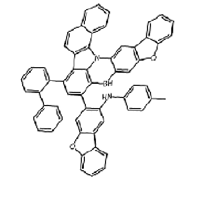 Cc1ccc(Nc2cc3c(cc2-c2cc(-c4ccccc4-c4ccccc4)c4c5ccc6ccccc6c5n5c4c2Bc2cc4oc6ccccc6c4cc2-5)oc2ccccc23)cc1